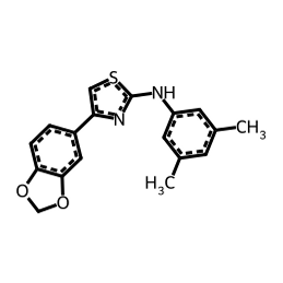 Cc1cc(C)cc(Nc2nc(-c3ccc4c(c3)OCO4)cs2)c1